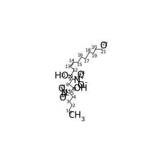 CCCCCC(C(O)CC(C(O)C/C=C\CCCCCCC=O)[N+](=O)[O-])[N+](=O)[O-]